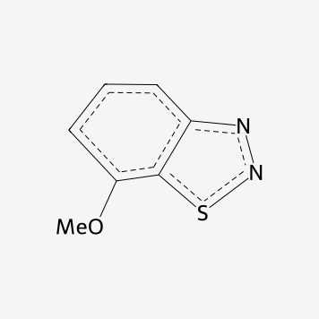 [CH2]Oc1cccc2nnsc12